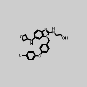 OCCNc1nc2ccc(NC3COC3)cc2n1Cc1ccc(Oc2ccc(Cl)cc2)cc1